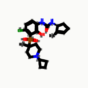 CC1=CCC[C@H]1NC(=O)Nc1ccc(Cl)c(S(=O)(=O)C2(C)CCN(C3CCC3)CC2)c1O